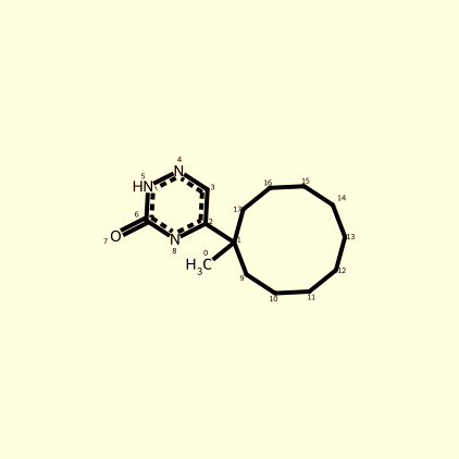 CC1(c2cn[nH]c(=O)n2)CCCCCCCCC1